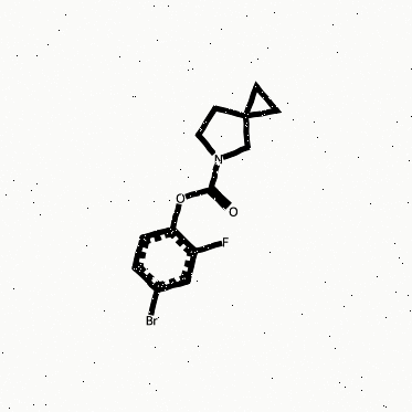 O=C(Oc1ccc(Br)cc1F)N1CCC2(CC2)C1